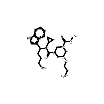 COCCCC(c1c[nH]c2ccccc12)N(C(=O)[C@@H]1C[C@H](NCCN)CN(C(=O)OC(C)(C)C)C1)C1CC1